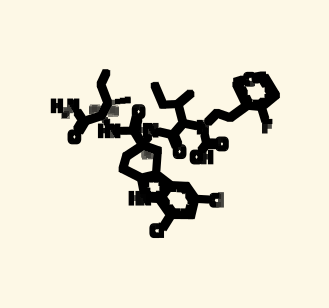 CCC(C)C(C(=O)N[C@]1(C(=O)N[C@H](C(N)=O)[C@@H](C)CC)CCc2[nH]c3c(Cl)cc(Cl)cc3c2C1)N(CCc1ccccc1F)C(=O)O